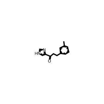 Cc1cccc(CCC(=O)c2c[nH]cn2)c1